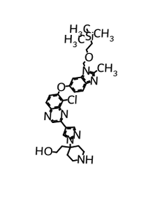 Cc1nc2ccc(Oc3ccc4ncc(-c5cnn(C6(CCO)CCNCC6)c5)nc4c3Cl)cc2n1COCC[Si](C)(C)C